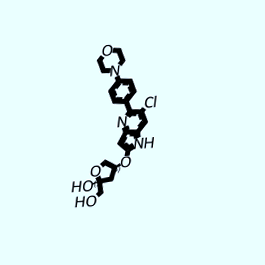 OC[C@]1(O)C[C@H](Oc2cc3nc(-c4ccc(N5CCOCC5)cc4)c(Cl)cc3[nH]2)CO1